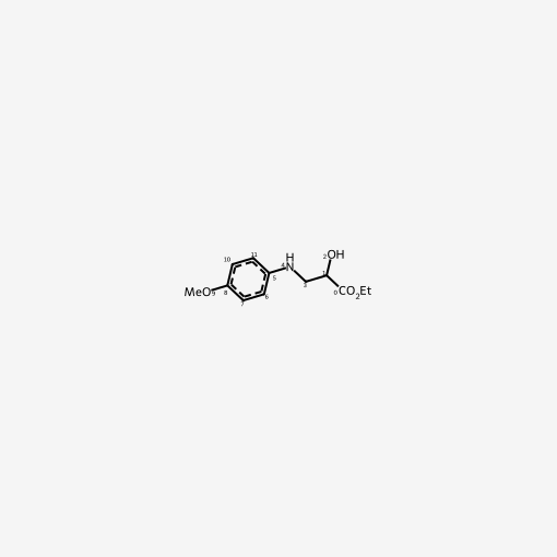 CCOC(=O)C(O)CNc1ccc(OC)cc1